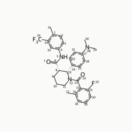 Cc1ccc(NC(=O)[C@H]2CCCN(C(=O)c3c(C)cccc3F)[C@H]2c2ccc(N(C)C)cc2)cc1C(F)(F)F